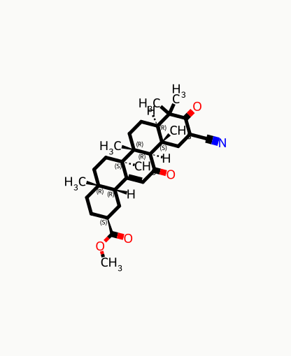 COC(=O)[C@H]1CC[C@]2(C)CC[C@]3(C)C(=CC(=O)[C@@H]4[C@@]5(C)CC(C#N)C(=O)C(C)(C)[C@@H]5CC[C@]43C)[C@@H]2C1